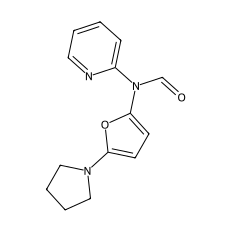 O=CN(c1ccccn1)c1ccc(N2CCCC2)o1